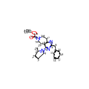 C[C@@H]1CCCN1c1nc(Cc2ccccc2)nc2c1CCN(C(=O)OC(C)(C)C)CC2